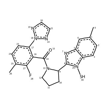 Cc1ccc2c(c1)nc(C1CCCN1C(=O)c1c(-n3nccn3)ccc(C)c1F)n2S